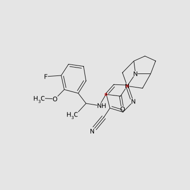 COc1c(F)cccc1C(C)NCC(=O)N1CC2CCC(C1)N2c1ccc(C#N)cn1